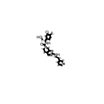 O=C(N[C@H](CO)c1ccc(F)c(Cl)c1)N1CCc2cnc(NCCc3cccnc3)nc2C1